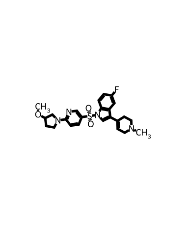 COC1CCN(c2ccc(S(=O)(=O)n3cc(C4=CCN(C)CC4)c4cc(F)ccc43)cn2)C1